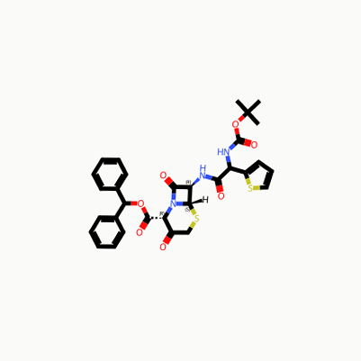 CC(C)(C)OC(=O)NC(C(=O)N[C@@H]1C(=O)N2[C@@H](C(=O)OC(c3ccccc3)c3ccccc3)C(=O)CS[C@@H]12)c1cccs1